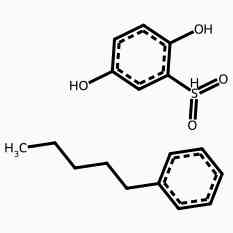 CCCCCc1ccccc1.O=[SH](=O)c1cc(O)ccc1O